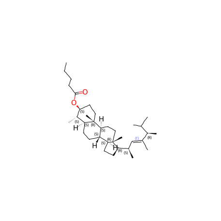 CCCCC(=O)O[C@H]1CC[C@@]2(C)[C@@H](CC[C@@H]3[C@@H]2CC[C@]2(C)[C@@H]([C@H](C)/C=C(\C)[C@H](C)C(C)C)CC[C@@H]32)[C@@H]1C